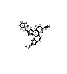 Cn1cc2ccc(-c3nc(C#N)ccc3-c3cnn(CC4(F)CCCC4)c3)cc2n1